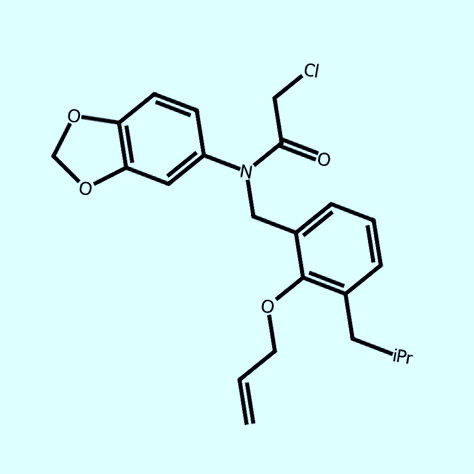 C=CCOc1c(CC(C)C)cccc1CN(C(=O)CCl)c1ccc2c(c1)OCO2